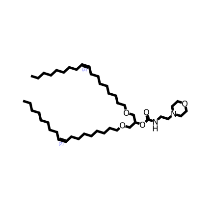 CCCCCCCC/C=C\CCCCCCCCOCC(COCCCCCCCC/C=C\CCCCCCCC)OC(=O)NCCN1CCOCC1